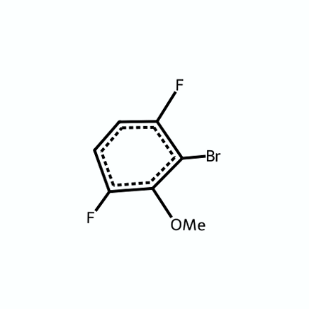 COc1c(F)ccc(F)c1Br